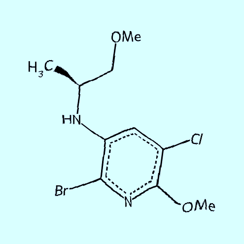 COC[C@H](C)Nc1cc(Cl)c(OC)nc1Br